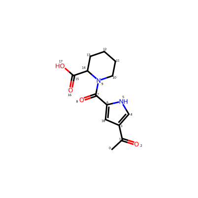 CC(=O)c1c[nH]c(C(=O)N2CCCCC2C(=O)O)c1